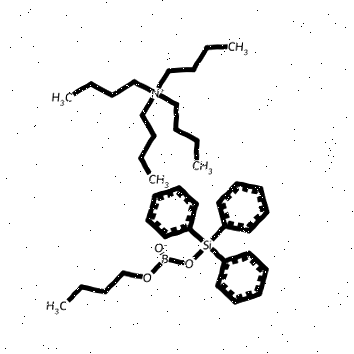 CCCCOB([O-])O[Si](c1ccccc1)(c1ccccc1)c1ccccc1.CCCC[N+](CCCC)(CCCC)CCCC